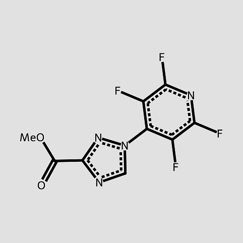 COC(=O)c1ncn(-c2c(F)c(F)nc(F)c2F)n1